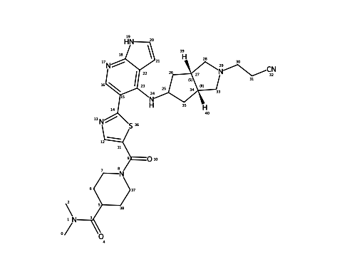 CN(C)C(=O)C1CCN(C(=O)c2cnc(-c3cnc4[nH]ccc4c3NC3C[C@@H]4CN(CCC#N)C[C@@H]4C3)s2)CC1